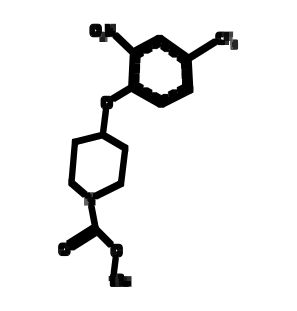 CC(C)(C)OC(=O)N1CCC(Oc2ccc(C(F)(F)F)cc2[N+](=O)[O-])CC1